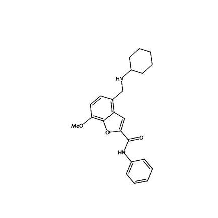 COc1ccc(CNC2CCCCC2)c2cc(C(=O)Nc3ccccc3)oc12